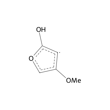 COc1[c]c(O)oc1